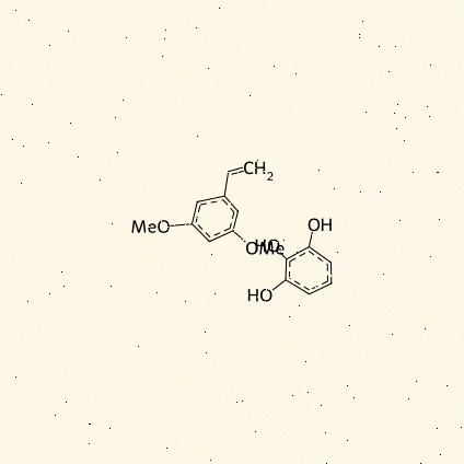 C=Cc1cc(OC)cc(OC)c1.Oc1cccc(O)c1O